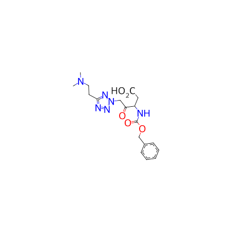 CN(C)CCc1nnn(CC(=O)C(CC(=O)O)NC(=O)OCc2ccccc2)n1